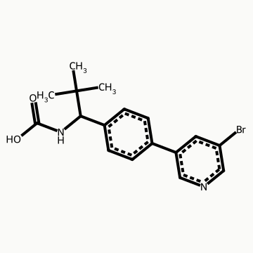 CC(C)(C)C(NC(=O)O)c1ccc(-c2cncc(Br)c2)cc1